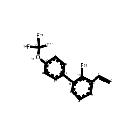 C=Cc1cccc(-c2ccc(OC(F)(F)F)cc2)c1F